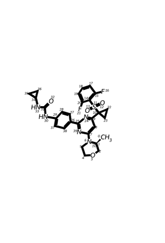 C[C@H]1COCCN1c1cc(C2(S(=O)(=O)c3c(F)cccc3F)CC2)nc(-c2ccc(NC(=O)NC3CC3)cc2)n1